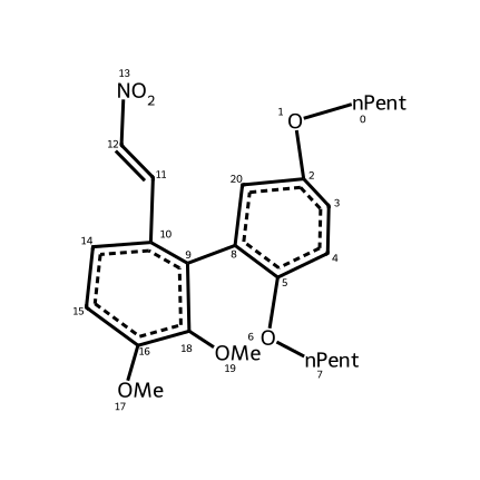 CCCCCOc1ccc(OCCCCC)c(-c2c(C=C[N+](=O)[O-])ccc(OC)c2OC)c1